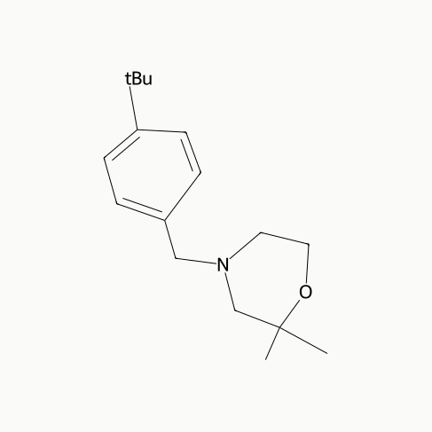 CC1(C)CN(Cc2ccc(C(C)(C)C)cc2)CCO1